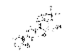 NC[C@H](C(=O)Nc1ccc(N2CCOCC2=O)cc1)N(CC(F)(F)F)C1CCC1